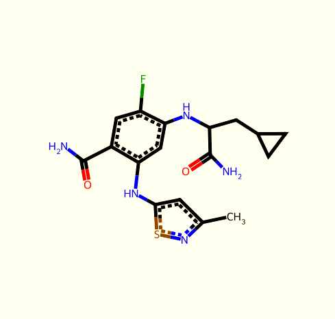 Cc1cc(Nc2cc(NC(CC3CC3)C(N)=O)c(F)cc2C(N)=O)sn1